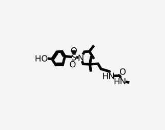 CNC(=O)NCCCC(C)(C)CN(CC(C)C)S(=O)(=O)c1ccc(O)cc1